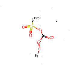 CCCCCS(=O)(=O)OC(=O)OOCC